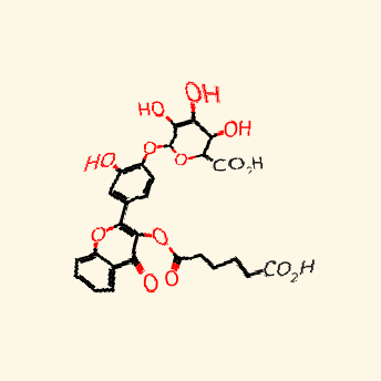 O=C(O)CCCCC(=O)Oc1c(-c2ccc(OC3OC(C(=O)O)C(O)C(O)C3O)c(O)c2)oc2ccccc2c1=O